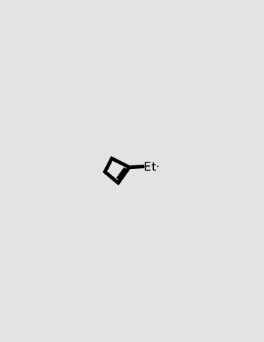 C[CH]C1=CCC1